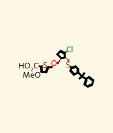 COc1cc(COC[C@H]2CC=C(Cl)[C@@H]2CSc2ccc(C(C)(C)c3ccccc3)cc2)sc1C(=O)O